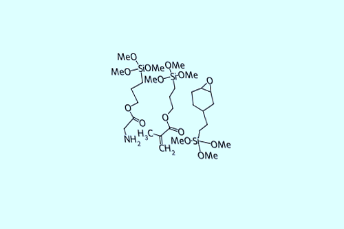 C=C(C)C(=O)OCCC[Si](OC)(OC)OC.CO[Si](CCC1CCC2OC2C1)(OC)OC.CO[Si](CCCOC(=O)CN)(OC)OC